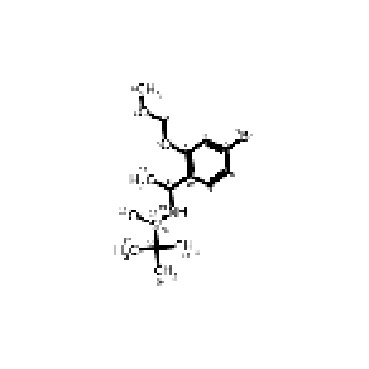 COCOc1cc(Br)ccc1C(C)N[S@+]([O-])C(C)(C)C